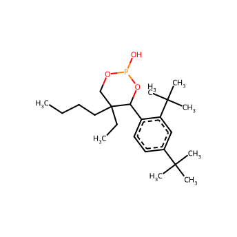 CCCCC1(CC)COP(O)OC1c1ccc(C(C)(C)C)cc1C(C)(C)C